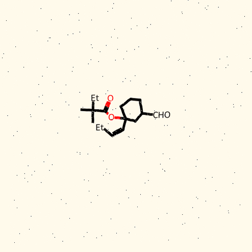 CC/C=C\C1(OC(=O)C(C)(C)CC)CCCC(C=O)C1